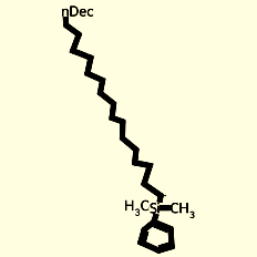 CCCCCCCCCCCCCCCCCCCCCCCCC[CH][Si](C)(C)c1ccccc1